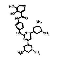 N[C@@H]1C[C@H](N)CN(c2nc(Nc3ccc(NC(=O)c4cccc(O)c4O)cc3)nc(N3C[C@H](N)C[C@H](N)C3)n2)C1